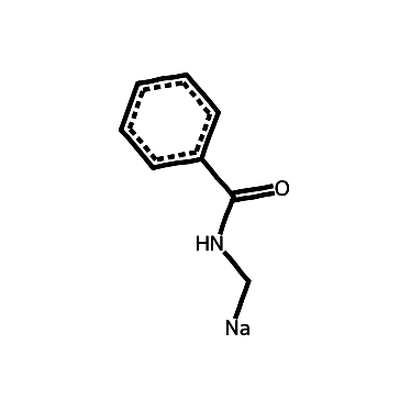 O=C(N[CH2][Na])c1ccccc1